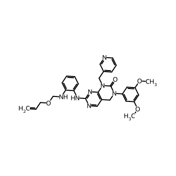 C=CCOCNc1ccccc1Nc1ncc2c(n1)N(Cc1cccnc1)C(=O)N(c1cc(OC)cc(OC)c1)C2